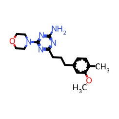 COc1cc(CCCc2nc(N)nc(N3CCOCC3)n2)ccc1C